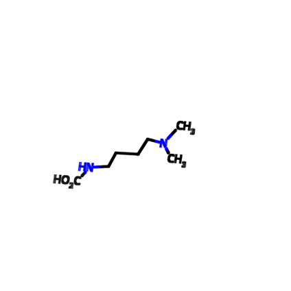 CN(C)CCCCNC(=O)O